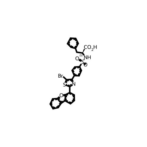 O=C(O)[C@H](Cc1ccccc1)NS(=O)(=O)c1ccc(-c2nc(-c3cccc4c3oc3ccccc34)sc2Br)cc1